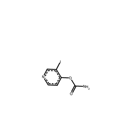 NC(=O)Oc1ccncc1I